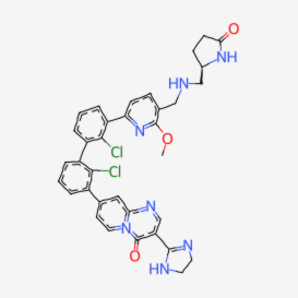 COc1nc(-c2cccc(-c3cccc(-c4ccn5c(=O)c(C6=NCCN6)cnc5c4)c3Cl)c2Cl)ccc1CNC[C@H]1CCC(=O)N1